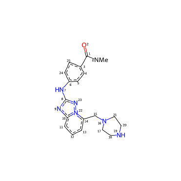 CNC(=O)c1ccc(Nc2nc3cccc(CN4CCNCC4)n3n2)cc1